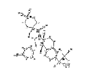 CC(F)(c1ccc2c(c1)CC[C@H]1N(C(=O)C3(F)CCS(=O)(=O)CC3)CC[C@@]21Cc1ccc(F)cc1)C(F)(F)F